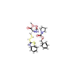 COC(=O)[C@@H](CSSc1nc2ccccc2s1)NC(=O)[C@@H]1CCCN1C(=O)OCc1ccccc1